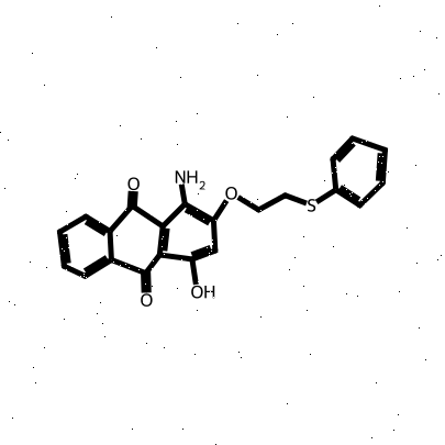 Nc1c(OCCSc2ccccc2)cc(O)c2c1C(=O)c1ccccc1C2=O